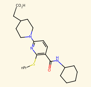 CCCSc1nc(N2CCC(CC(=O)O)CC2)ccc1C(=O)NC1CCCCC1